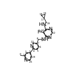 Cc1cc(-c2ccc(CNc3ncnc(NCC4CC4)c3F)cn2)ccn1